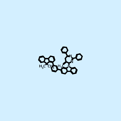 C/C=C1/CC(C2=CC=CCC2)=NC(C2=CCCC=C2)=NC1N1C2=CC(C3=CC(C4=C5C(CC=C4)C4C=CC=CC4C5(C)C)CC=C3)=CCC2c2ccccc21